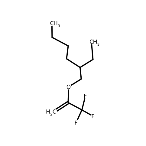 C=C(OCC(CC)CCCC)C(F)(F)F